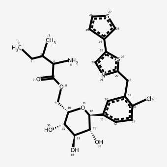 CCC(C)C(N)C(=O)OC[C@@H]1O[C@@H](c2ccc(Cl)c(Cc3ncc(-c4ccsc4)s3)c2)[C@H](O)[C@@H](O)[C@@H]1O